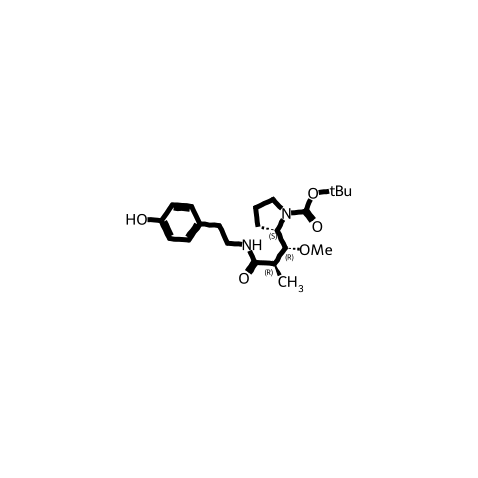 CO[C@H]([C@@H](C)C(=O)NCCc1ccc(O)cc1)[C@@H]1CCCN1C(=O)OC(C)(C)C